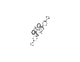 CC(C)(C)C(C(=O)SC1CCC(C2CCC2)CC1)C(C(=O)SC1CCC(C2CCC2)CC1)C(C)(C)C